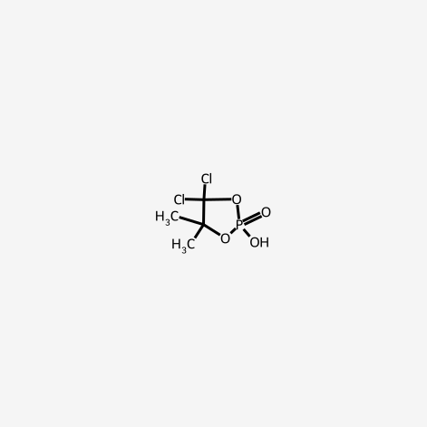 CC1(C)OP(=O)(O)OC1(Cl)Cl